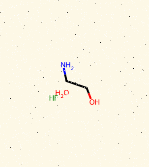 F.NCCO.O